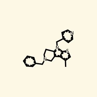 Cc1csc2c1c1c(n2Cc2ccncc2)CCN(Cc2ccccc2)C1